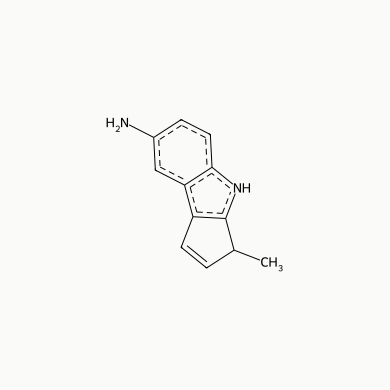 CC1C=Cc2c1[nH]c1ccc(N)cc21